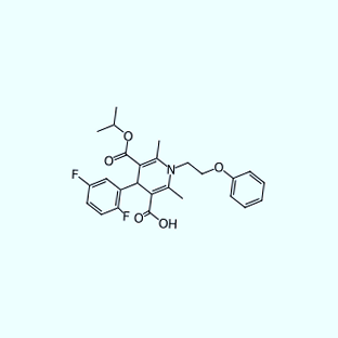 CC1=C(C(=O)O)C(c2cc(F)ccc2F)C(C(=O)OC(C)C)=C(C)N1CCOc1ccccc1